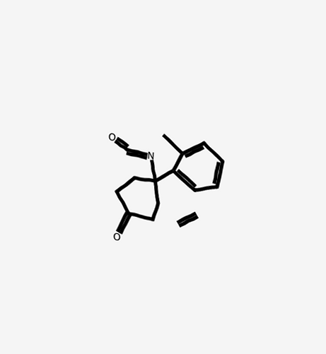 C=C.Cc1ccccc1C1(N=C=O)CCC(=O)CC1